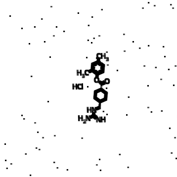 Cc1ccc(OC(=O)[C@H]2CC[C@H](CNC(=N)N)CC2)c(C)c1.Cl